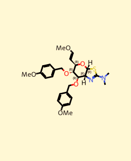 COC=C[C@H]1O[C@@H]2SC(N(C)C)=N[C@@H]2[C@@H](OCc2ccc(OC)cc2)[C@@H]1OCc1ccc(OC)cc1